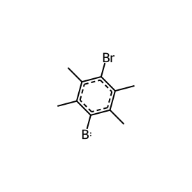 [B]c1c(C)c(C)c(Br)c(C)c1C